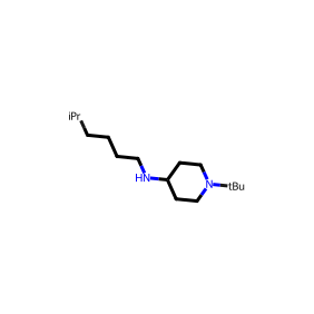 CC(C)CCCCNC1CCN(C(C)(C)C)CC1